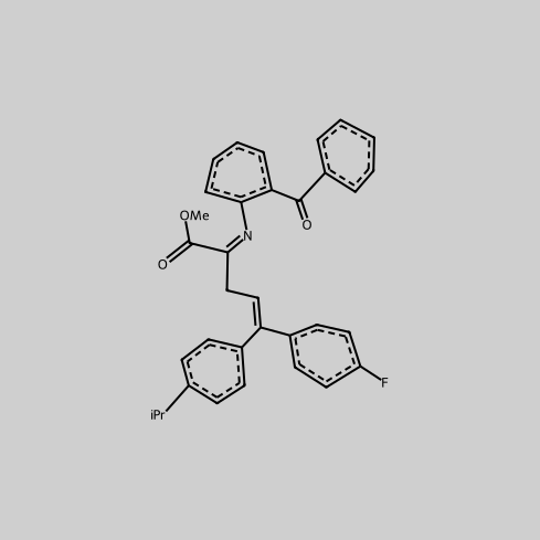 COC(=O)C(CC=C(c1ccc(F)cc1)c1ccc(C(C)C)cc1)=Nc1ccccc1C(=O)c1ccccc1